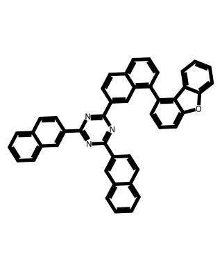 c1ccc2cc(-c3nc(-c4ccc5ccccc5c4)nc(-c4ccc5cccc(-c6cccc7oc8ccccc8c67)c5c4)n3)ccc2c1